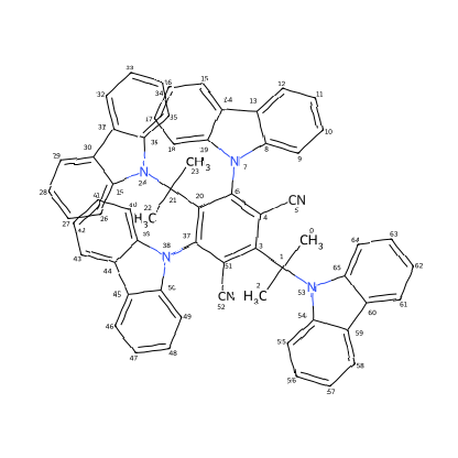 CC(C)(c1c(C#N)c(-n2c3ccccc3c3ccccc32)c(C(C)(C)n2c3ccccc3c3ccccc32)c(-n2c3ccccc3c3ccccc32)c1C#N)n1c2ccccc2c2ccccc21